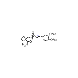 COc1ccc(/C=C/C(=O)NCC2(C(N)=O)CCC2)cc1OC